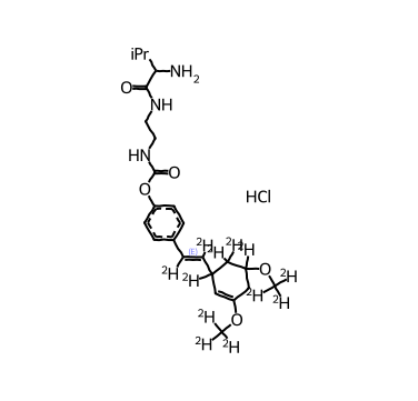 Cl.[2H]/C(=C(/[2H])C1([2H])C=C(OC([2H])([2H])[2H])CC([2H])(OC([2H])([2H])[2H])C1([2H])[2H])c1ccc(OC(=O)NCCNC(=O)C(N)C(C)C)cc1